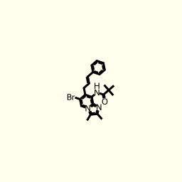 Cc1nc2c(NC(=O)C(C)(C)C)c(CC=Cc3ccccc3)c(Br)cn2c1C